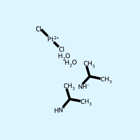 CC(C)[NH-].CC(C)[NH-].O.O.[Cl][Pt+2][Cl]